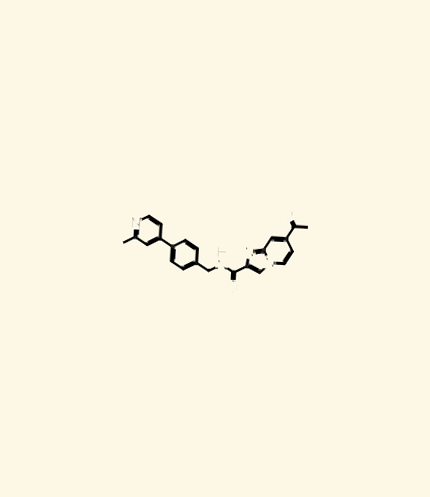 CC(=O)c1ccn2cc(C(=O)NCc3ccc(-c4ccnc(C)c4)cc3)nc2c1